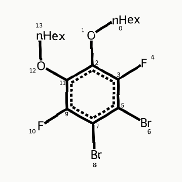 CCCCCCOc1c(F)c(Br)c(Br)c(F)c1OCCCCCC